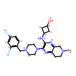 CC(=O)N1CCc2nc(N3CCN(Cc4ccc(F)cc4F)CC3)c(NC3CC(O)C3)nc2C1